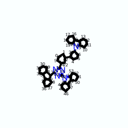 c1cc(-c2cccc(-n3c4ccccc4c4ccccc43)c2)cc(-c2nc(C3c4ccccc4-c4ccccc43)nc(-n3c4ccccc4c4ccccc43)n2)c1